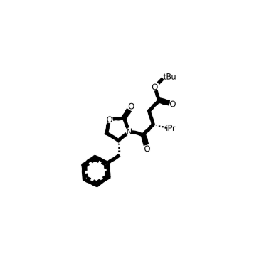 CC(C)[C@@H](CC(=O)OC(C)(C)C)C(=O)N1C(=O)OC[C@H]1Cc1ccccc1